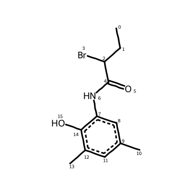 CCC(Br)C(=O)Nc1cc(C)cc(C)c1O